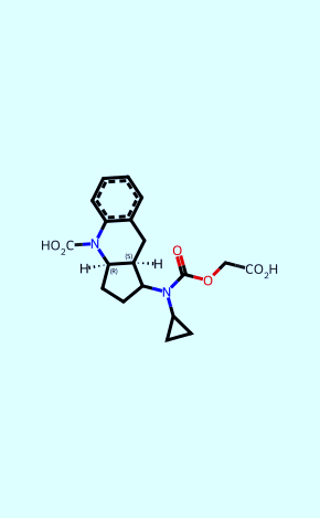 O=C(O)COC(=O)N(C1CC1)C1CC[C@@H]2[C@H]1Cc1ccccc1N2C(=O)O